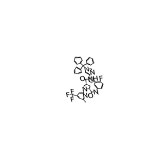 Cc1cc(C(F)(F)F)cc(N2C[C@@H](C(=O)Nc3cn(C(c4ccccc4)(c4ccccc4)c4ccccc4)cn3)C[C@H]2C(=O)N(C)c2ccc(F)c(Cl)c2)n1